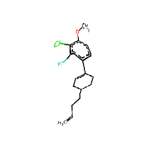 C=CCCC1CC=C(c2ccc(OC)c(Cl)c2F)CC1